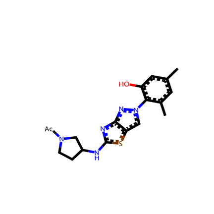 CC(=O)N1CCC(Nc2nc3nn(-c4c(C)cc(C)cc4O)cc3s2)C1